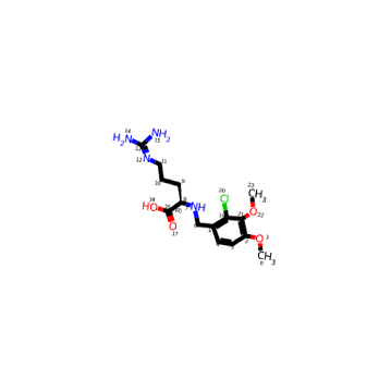 COc1ccc(CN[C@H](CCCN=C(N)N)C(=O)O)c(Cl)c1OC